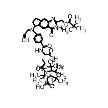 C#CCN(c1ccc(C(=O)N[C@@H](CCC(=O)N(C(C)(C)C)[C@@](C(=O)O)(C(CC(=O)O)C(C)(C)C)C(C)(C)C)C(=O)O)cc1)C1CCc2cc3nc(COC(=O)C(C)(C)C)[nH]c(=O)c3cc21